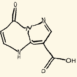 O=C(O)c1cnn2c(=O)cc[nH]c12